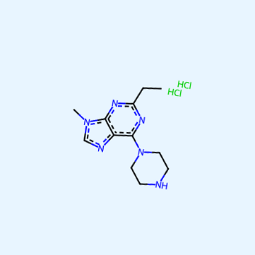 CCc1nc(N2CCNCC2)c2ncn(C)c2n1.Cl.Cl